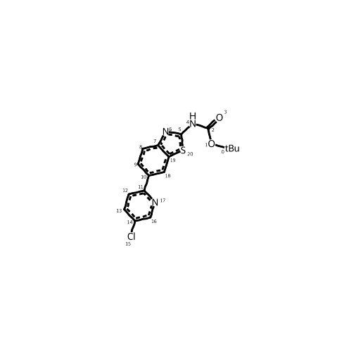 CC(C)(C)OC(=O)Nc1nc2ccc(-c3ccc(Cl)cn3)cc2s1